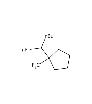 CCCCC(CCC)C1(C(F)(F)F)CCCC1